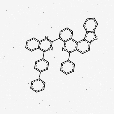 c1ccc(-c2ccc(-c3nc(-c4cccc5c4nc(-c4ccccc4)c4ccc6sc7ccccc7c6c45)nc4ccccc34)cc2)cc1